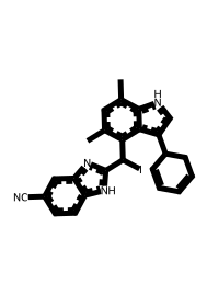 Cc1cc(C)c2[nH]cc(C3C=CC=CC3)c2c1C(I)c1nc2cc(C#N)ccc2[nH]1